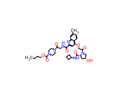 CCCCOC(=O)N1CCN(C(=O)CNC(=O)c2cc(OCC(=O)N3C[C@H](O)C[C@H]3C(=O)NC3CCC3)c3ccc(C)cc3n2)CC1